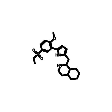 CCS(=O)(=O)c1ccc(OC)c(-c2ccc(CC3NCCC4CCCCC43)[nH]2)c1